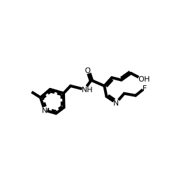 Cc1cc(CNC(=O)C(/C=N\CCF)=C/C=C/O)ccn1